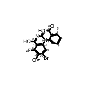 CC(C)c1ccccc1-n1c(=O)nc(O)c2c(F)c(Cl)c(Br)cc21